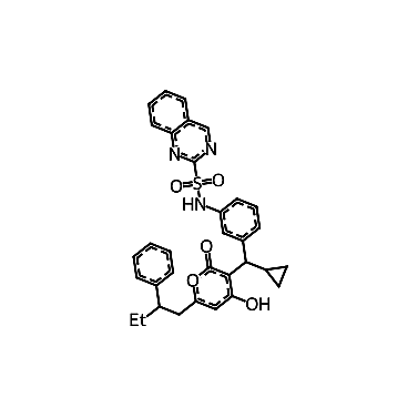 CCC(Cc1cc(O)c(C(c2cccc(NS(=O)(=O)c3ncc4ccccc4n3)c2)C2CC2)c(=O)o1)c1ccccc1